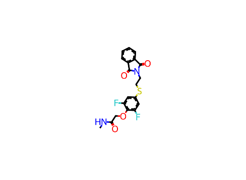 CNC(=O)COc1c(F)cc(SCCN2C(=O)c3ccccc3C2=O)cc1F